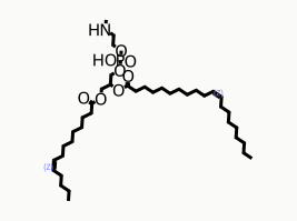 CCCC/C=C\CCCCCCCC(=O)OCC(COP(=O)(O)OCCNC)OC(=O)CCCCCCCCC/C=C\CCCCCCCC